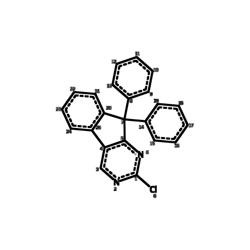 Clc1ncc2c(n1)C(c1ccccc1)(c1ccccc1)c1ccccc1-2